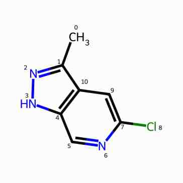 Cc1n[nH]c2cnc(Cl)cc12